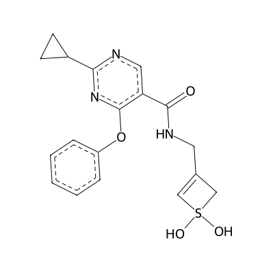 O=C(NCC1=CS(O)(O)C1)c1cnc(C2CC2)nc1Oc1ccccc1